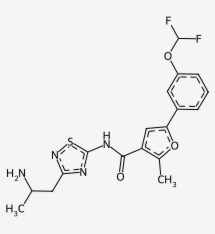 Cc1oc(-c2cccc(OC(F)F)c2)cc1C(=O)Nc1nc(CC(C)N)ns1